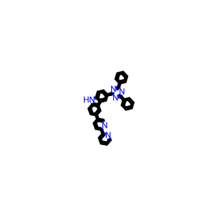 c1ccc(-c2nc(-c3ccccc3)nc(-c3ccc4[nH]c5ccc(-c6ccc(-c7ccccn7)nc6)cc5c4c3)n2)cc1